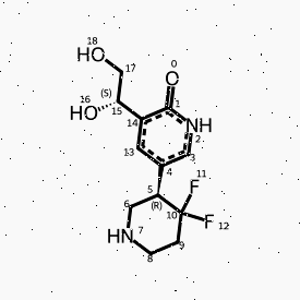 O=c1[nH]cc([C@@H]2CNCCC2(F)F)cc1[C@H](O)CO